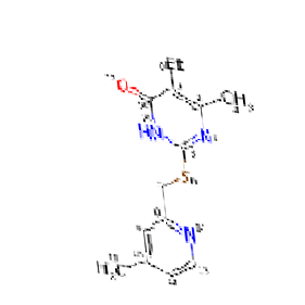 CCc1c(C)nc(SCc2cc(C)ccn2)[nH]c1=O